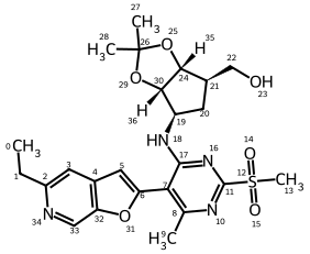 CCc1cc2cc(-c3c(C)nc(S(C)(=O)=O)nc3N[C@@H]3C[C@H](CO)[C@H]4OC(C)(C)O[C@H]43)oc2cn1